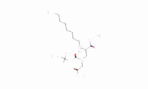 CCCCCCCCNC(CN(CC(=O)O)C(=O)OC(C)(C)C)C(=O)OC